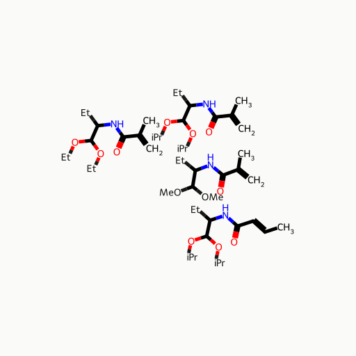 C=C(C)C(=O)NC(CC)C(OC(C)C)OC(C)C.C=C(C)C(=O)NC(CC)C(OC)OC.C=C(C)C(=O)NC(CC)C(OCC)OCC.CC=CC(=O)NC(CC)C(OC(C)C)OC(C)C